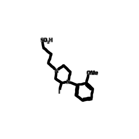 COc1ccccc1N1CCN(CCCS(=O)(=O)O)CC1I